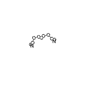 c1cc(-c2ccc3ncccc3c2)cc(-c2ccc3c(ccc4cc(-c5cccc(-c6ccc7ncccc7c6)c5)ccc43)c2)c1